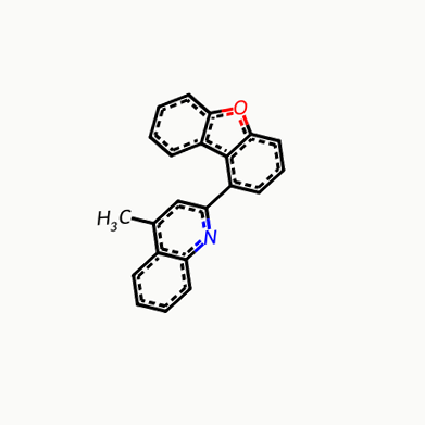 Cc1cc(-c2cccc3oc4ccccc4c23)nc2ccccc12